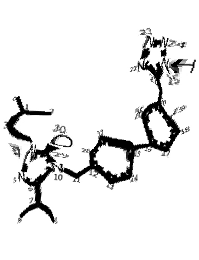 CC(C)Cn1nc(C(C)C)n(Cc2ccc(-c3cccc(-c4nnn[nH]4)c3)cc2)c1=O